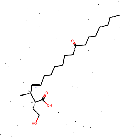 CCCCCCCC(=O)CCCCCC/C=C/[C@H](C)[C@@H](CCO)C(=O)O